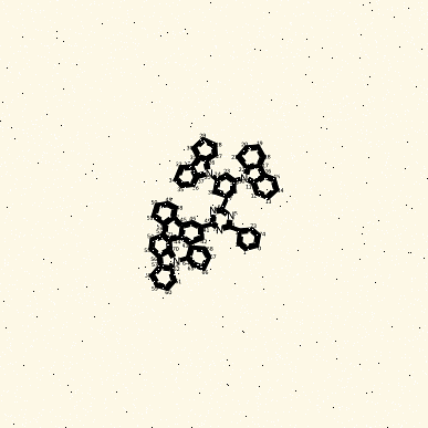 c1ccc(-c2nc(-c3cc(-n4c5ccccc5c5ccccc54)cc(-n4c5ccccc5c5ccccc54)c3)nc(-c3ccc4c(c3)c3ccccc3c3ccc5c6ccccc6n(-c6ccccc6)c5c34)n2)cc1